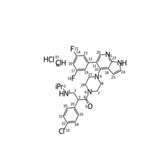 CC(C)NCC(C(=O)N1CCN(c2c(-c3cc(F)cc(F)c3)cnc3[nH]ccc23)CC1)c1ccc(Cl)cc1.Cl.Cl